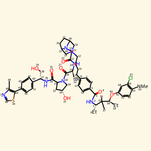 CC[C@H](NC(=O)c1ccc(CCCCN2CC3CCC(C2)N3CC(=O)N[C@H](C(=O)N2C[C@H](O)CC2C(=O)N[C@@H](CO)c2ccc(-c3scnc3C)cc2)C(C)(C)C)cc1)C(C)(C)[C@H](CC)Oc1ccc(NC)c(Cl)c1